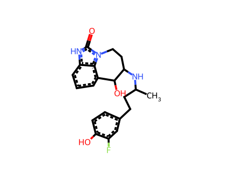 CC(CCc1ccc(O)c(F)c1)NC1CCn2c(=O)[nH]c3cccc(c32)C1O